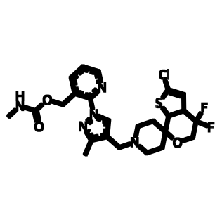 CNC(=O)OCc1cccnc1-n1cc(CN2CCC3(CC2)OCC(F)(F)C2C=C(Cl)SC23)c(C)n1